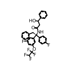 O=C(CC(O)c1ccccc1)N[C@](Cc1ccccc1)(c1ccc(F)cc1)c1cc(F)cc(OC(F)(F)C(F)F)c1